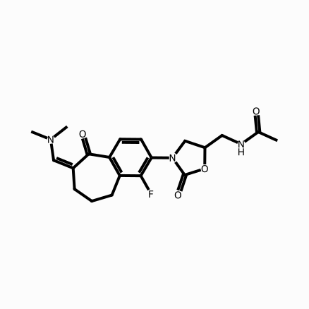 CC(=O)NCC1CN(c2ccc3c(c2F)CCCC(=CN(C)C)C3=O)C(=O)O1